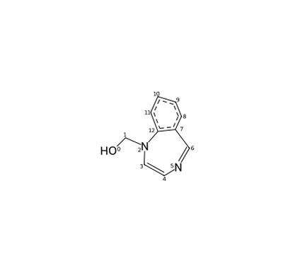 OCN1C=CN=Cc2ccccc21